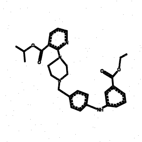 CCOC(=O)c1cccc(Nc2ccc(CN3CCN(c4ncccc4C(=O)OC(C)C)CC3)cc2)c1